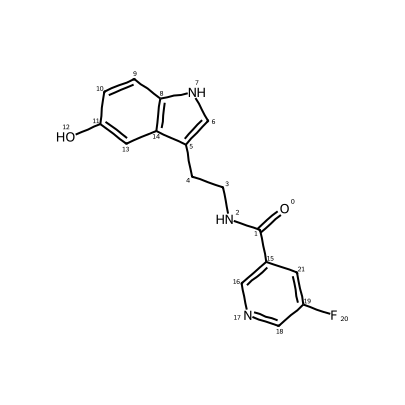 O=C(NCCc1c[nH]c2ccc(O)cc12)c1cncc(F)c1